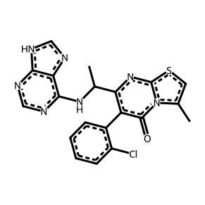 Cc1csc2nc(C(C)Nc3ncnc4[nH]cnc34)c(-c3ccccc3Cl)c(=O)n12